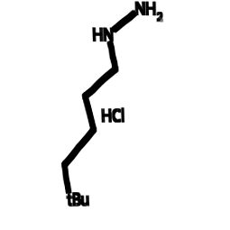 CC(C)(C)CCCCNN.Cl